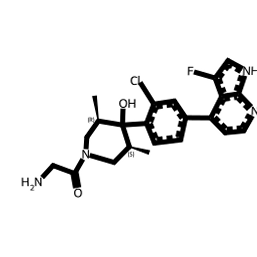 C[C@@H]1CN(C(=O)CN)C[C@H](C)C1(O)c1ccc(-c2ccnc3[nH]cc(F)c23)cc1Cl